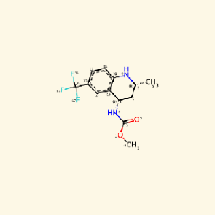 COC(=O)N[C@H]1C[C@@H](C)Nc2ccc(C(F)(F)F)cc21